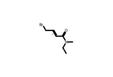 CCN(C)C(=O)/C=C/CBr